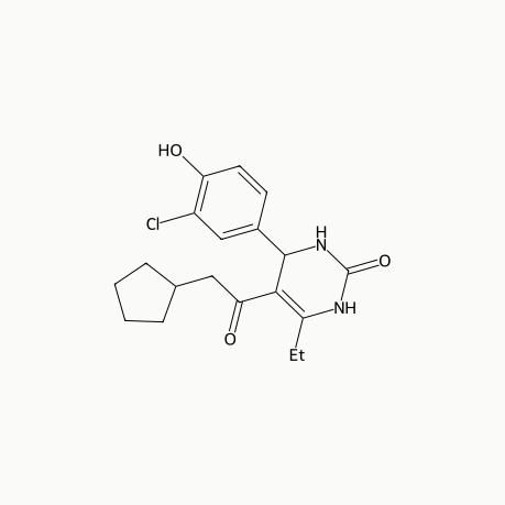 CCC1=C(C(=O)CC2CCCC2)C(c2ccc(O)c(Cl)c2)NC(=O)N1